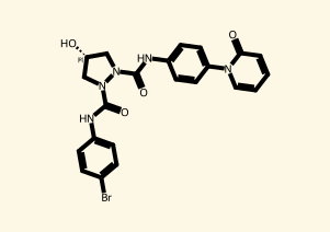 O=C(Nc1ccc(Br)cc1)N1C[C@H](O)CN1C(=O)Nc1ccc(-n2ccccc2=O)cc1